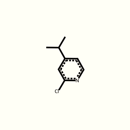 CC(C)c1ccnc(Cl)c1